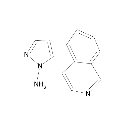 Nn1cccn1.c1ccc2cnccc2c1